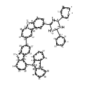 c1ccc(C2N=C(c3ccc4oc5ccc(-c6ccc7c(c6)sc6cccc(-n8c9ccccc9c9ccccc98)c67)cc5c4c3)NC(c3ccccc3)N2)cc1